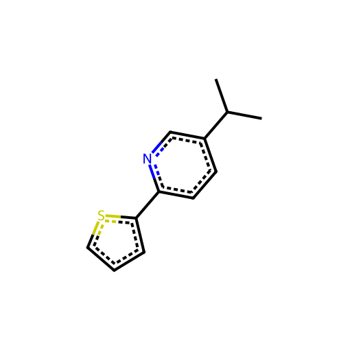 CC(C)c1ccc(-c2cccs2)nc1